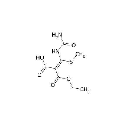 CCOC(=O)C(C(=O)O)=C(NC(N)=O)SC